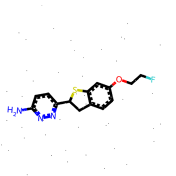 Nc1ccc(C2Cc3ccc(OCCF)cc3S2)nn1